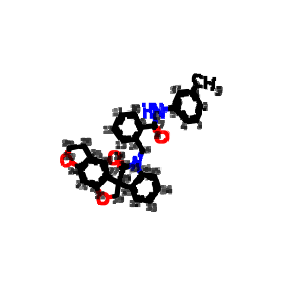 Cc1cccc(NC(=O)c2ccccc2CN2C(=O)C3(COc4cc5c(cc43)CCO5)c3ccccc32)c1